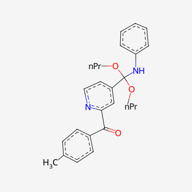 CCCOC(Nc1ccccc1)(OCCC)c1ccnc(C(=O)c2ccc(C)cc2)c1